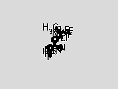 COc1nc2ccc(C(c3ccnc(C(F)(F)F)c3)c3cncn3C)cc2c(Cl)c1CCC(F)(F)F